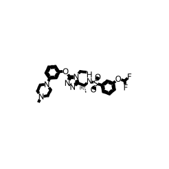 CCn1c(Oc2cccc(N3CCN(C)CC3)c2)nnc1[C@@H](C)NS(=O)(=O)c1cccc(OC(F)F)c1